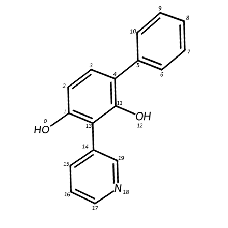 Oc1ccc(-c2ccccc2)c(O)c1-c1cccnc1